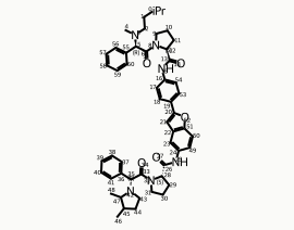 CC(C)CCN(C)[C@@H](C(=O)N1CCC[C@H]1C(=O)Nc1ccc(-c2cc3cc(NC(=O)[C@@H]4CCCN4C(=O)[C@@H](c4ccccc4)N4CCC(C)C4C)ccc3o2)cc1)c1ccccc1